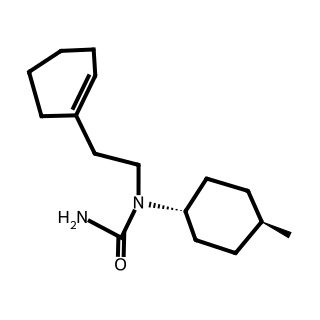 C[C@H]1CC[C@H](N(CCC2=CCCCC2)C(N)=O)CC1